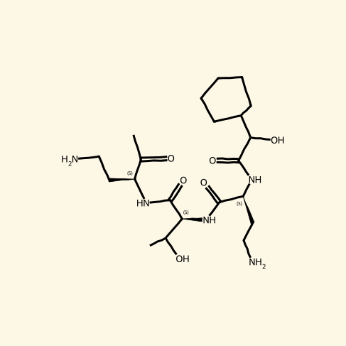 CC(=O)[C@H](CCN)NC(=O)[C@@H](NC(=O)[C@H](CCN)NC(=O)C(O)C1CCCCC1)C(C)O